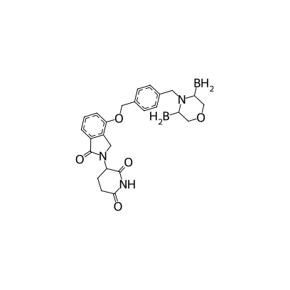 BC1COCC(B)N1Cc1ccc(COc2cccc3c2CN(C2CCC(=O)NC2=O)C3=O)cc1